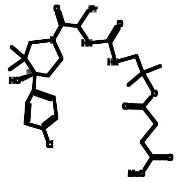 COC(=O)CCC(=O)OC(C)(C)CNC(=O)NC(C(=O)N1CC[C@](O)(c2ccc(Cl)cc2)C(C)(C)C1)C(C)C